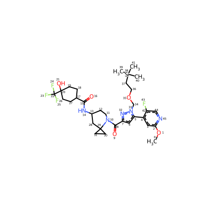 COc1cc(-c2cc(C(=O)N3CCC(NC(=O)C4CCC(O)(C(F)(F)F)CC4)CC34CC4)nn2COCC[Si](C)(C)C)c(F)cn1